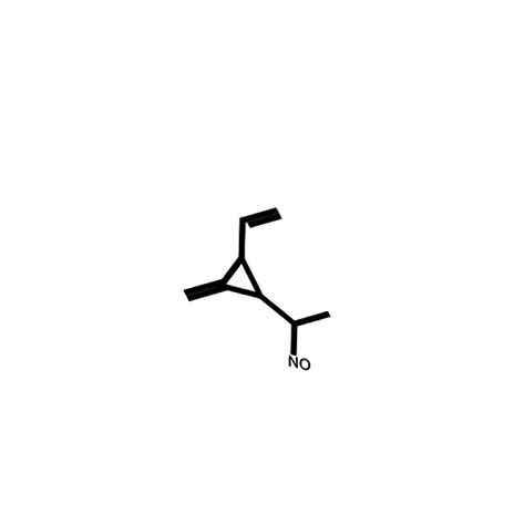 C=CC1C(=C)C1C(C)N=O